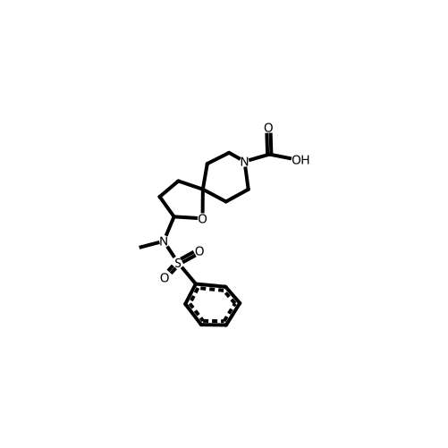 CN(C1CCC2(CCN(C(=O)O)CC2)O1)S(=O)(=O)c1ccccc1